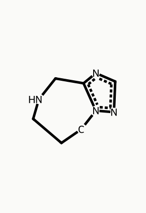 c1nc2n(n1)CCCNC2